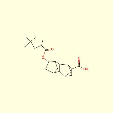 CC(CC(C)(C)C)C(=O)OC1CC2CC1C1C3CC(CC3C(=O)O)C21